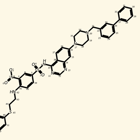 O=[N+]([O-])c1cc(S(=O)(=O)Nc2ncnc3cc(N4CCN(Cc5cccc(-c6ccccc6)c5)CC4)ccc23)ccc1NCCSc1ccccc1